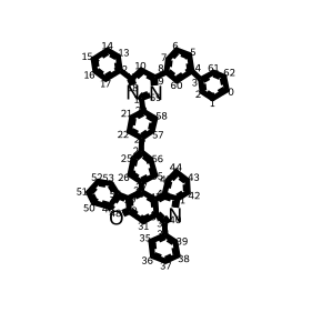 c1ccc(-c2cccc(-c3cc(-c4ccccc4)nc(-c4ccc(-c5ccc(-c6c7c(cc8c(-c9ccccc9)nc9ccccc9c68)oc6ccccc67)cc5)cc4)n3)c2)cc1